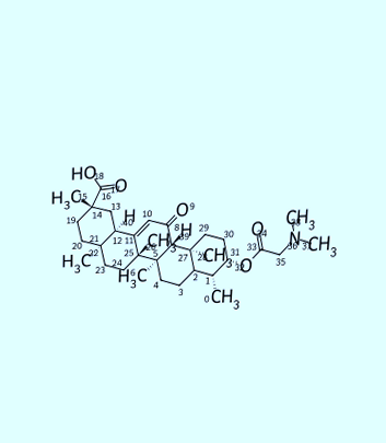 C[C@@H]1C2CC[C@]3(C)[C@H](C(=O)C=C4[C@@H]5C[C@@](C)(C(=O)O)CC[C@]5(C)CC[C@]43C)[C@@]2(C)CC[C@@H]1OC(=O)CN(C)C